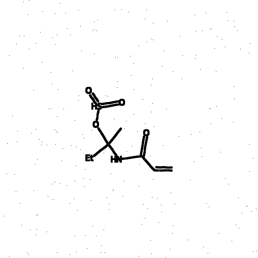 C=CC(=O)NC(C)(CC)O[SH](=O)=O